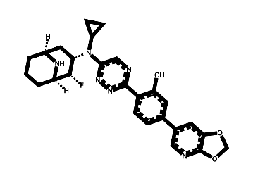 Oc1cc(-c2cnc3c(c2)OCO3)ccc1-c1ncc(N(C2CC2)[C@H]2C[C@@H]3CCC[C@@H](N3)[C@H]2F)nn1